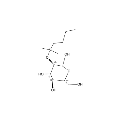 CCCC[Si](C)(C)O[C@H]1C(O)O[C@H](CO)[C@@H](O)[C@@H]1O